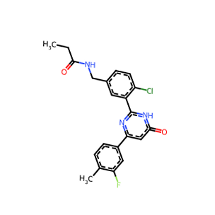 CCC(=O)NCc1ccc(Cl)c(-c2nc(-c3ccc(C)c(F)c3)cc(=O)[nH]2)c1